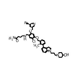 Cc1c(COc2cc(OCc3cncc(C#N)c3)c(CNCCCC(N)=O)cc2Cl)cccc1-c1cccc2c1CCN2CCCN1CCC(O)CC1